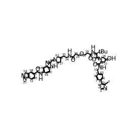 Cc1ncsc1-c1ccc(CNC(=O)[C@@H]2C[C@@H](O)CN2C(=O)[C@@H](NC(=O)CCOCCC(=O)NCCC2CCN(Cc3nc4cc(NC(=O)c5ccc6c(cnn6C)c5)ccc4[nH]3)C2)C(C)(C)C)cc1